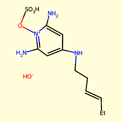 CC/C=C/CCNc1cc(N)[n+](OS(=O)(=O)O)c(N)c1.[OH-]